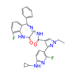 CCn1cc(C(=O)N[C@H]2N=C(c3ccccc3)c3cccc(F)c3NC2=O)c(-c2ccc(NC3CC3)nc2F)n1